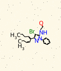 CC/C=C\C(=C/CCC)c1nn(-c2ccccc2)c(NCC=O)c1Br